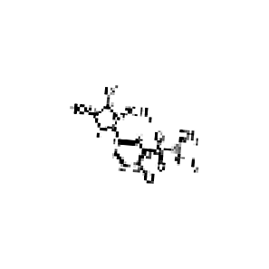 CN1C(=O)C(O)CC1c1ccc(Cl)c(S(=O)(=O)N(C)C)c1